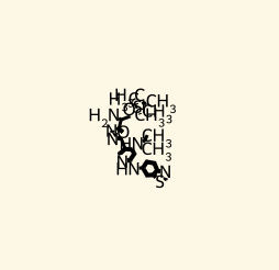 CC(C)Nc1cc(Nc2ccc3ncsc3c2)ncc1-c1nnc(C(N)CO[Si](C)(C)C(C)(C)C)o1